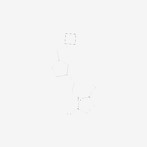 O=C1C=CC(=O)N1CCC1CCC(CC2CCC2)C1